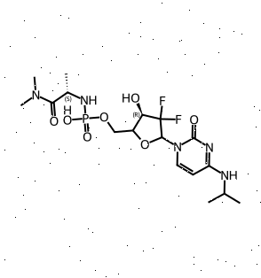 CC(C)Nc1ccn(C2OC(COP(=O)(O)N[C@@H](C)C(=O)N(C)C)[C@@H](O)C2(F)F)c(=O)n1